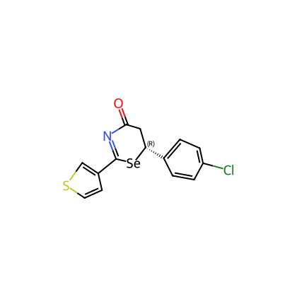 O=C1C[C@H](c2ccc(Cl)cc2)[Se]C(c2ccsc2)=N1